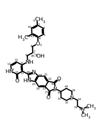 Cc1ccc(OC[C@H](O)CNc2cc[nH]c(=O)c2-c2nc3cc4c(cc3[nH]2)C(=O)N(C2CCN(CCN(C)C)CC2)C4=O)c(C)c1